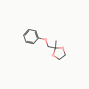 CC1(COc2ccccc2)OCCO1